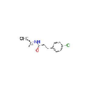 C[C@@H]([C]=O)NC(=O)CCc1ccc(Cl)cc1